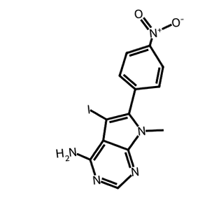 Cn1c(-c2ccc([N+](=O)[O-])cc2)c(I)c2c(N)ncnc21